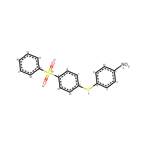 O=[N+]([O-])c1ccc(Sc2ccc(S(=O)(=O)c3ccccc3)cc2)cc1